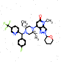 CC[C@@H]1CN(c2cc(=O)n(C)c3cn(C4CCCCO4)nc23)[C@@H](C)CN1C(c1ccc(F)cc1)c1ccc(C(F)(F)F)cn1